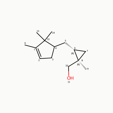 CC1=CCC(C[C@@H]2C[C@@]2(C)CO)C1(C)C